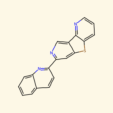 c1ccc2nc(-c3cc4sc5cccnc5c4cn3)ccc2c1